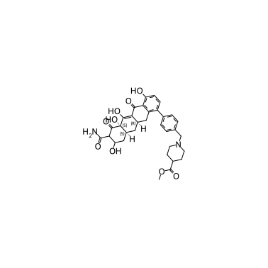 COC(=O)C1CCN(Cc2ccc(-c3ccc(O)c4c3C[C@H]3C[C@H]5CC(O)C(C(N)=O)C(=O)[C@@]5(O)C(O)=C3C4=O)cc2)CC1